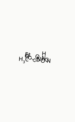 CCOc1ccc(-c2ccc3ccn(CC(=O)Nc4ccncc4)c(=O)c3c2)cc1C